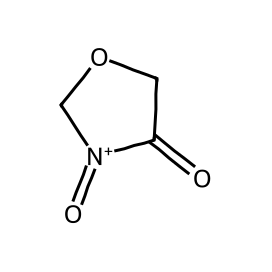 O=C1COC[N+]1=O